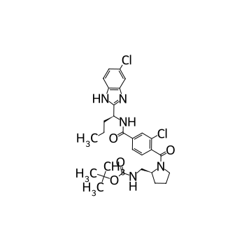 CCC[C@H](NC(=O)c1ccc(C(=O)N2CCC[C@H]2CNC(=O)OC(C)(C)C)c(Cl)c1)c1nc2cc(Cl)ccc2[nH]1